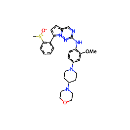 COc1cc(N2CCC(N3CCOCC3)CC2)ccc1Nc1ncc2ccc(-c3ccccc3[S+](C)[O-])n2n1